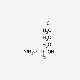 O.O.O.O.O.O.[Cl-].[Na+]